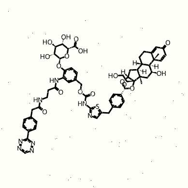 C[C@]12C=CC(=O)C=C1CC[C@@H]1[C@@H]2[C@@H](O)C[C@@]2(C)[C@H]1C[C@H]1O[C@@H](c3ccc(Cc4cnc(NC(=O)OCc5ccc(O[C@@H]6O[C@H](C(=O)O)[C@@H](O)[C@H](O)[C@H]6O)c(NC(=O)CCNC(=O)Cc6ccc(-c7nncnn7)cc6)c5)s4)cc3)O[C@]12C(=O)CO